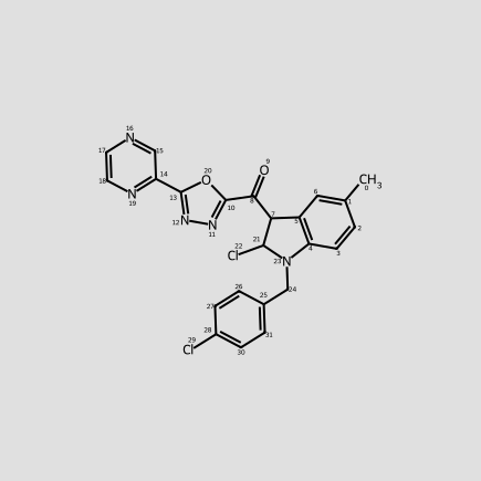 Cc1ccc2c(c1)C(C(=O)c1nnc(-c3cnccn3)o1)C(Cl)N2Cc1ccc(Cl)cc1